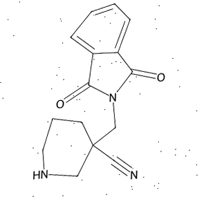 N#CC1(CN2C(=O)c3ccccc3C2=O)CCCNC1